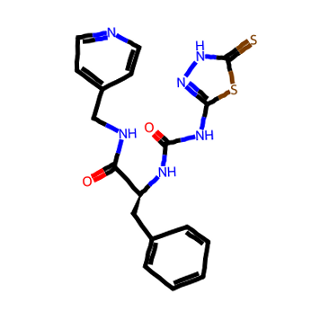 O=C(Nc1n[nH]c(=S)s1)N[C@@H](Cc1ccccc1)C(=O)NCc1ccncc1